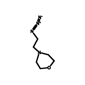 [N-]=[N+]=NCCN1CCOCC1